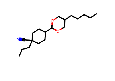 CCCCCC1COC(C2CCC(C#N)(CCC)CC2)OC1